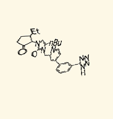 CCCCc1cn(C2C(=O)CCC2CC)c(=O)n1Cc1cc(-c2cccc(-c3nnn[nH]3)c2)ccn1